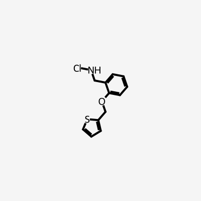 ClNCc1ccccc1OCc1cccs1